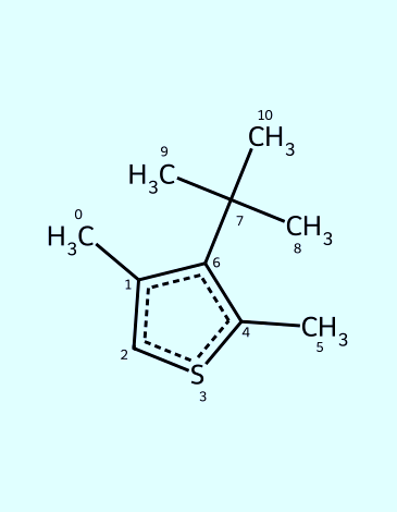 Cc1csc(C)c1C(C)(C)C